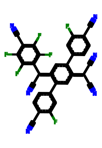 N#CC(C#N)=c1cc(-c2ccc(C#N)c(F)c2)/c(=C(\C#N)c2c(F)c(F)c(C#N)c(F)c2F)cc1-c1ccc(C#N)c(F)c1